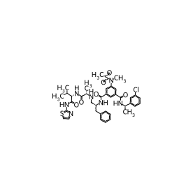 CC(C)[C@H](NC(=O)[C@H](C)NC[C@H](Cc1ccccc1)NC(=O)c1cc(C(=O)N[C@H](C)c2cccc(Cl)c2)cc(N(C)S(C)(=O)=O)c1)C(=O)Nc1nccs1